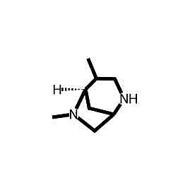 CC1CNC2C[C@H]1N(C)C2